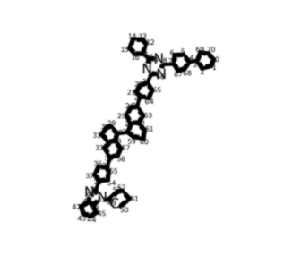 c1ccc(-c2ccc(-c3nc(-c4ccccc4)nc(-c4ccc(-c5ccc6c(-c7cccc8cc(-c9ccc(-c%10nc%11ccccc%11n%10-c%10ccccc%10)cc9)ccc78)cccc6c5)cc4)n3)cc2)cc1